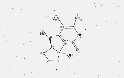 Nc1[nH]c(=O)c([C@@]2(O)CCO[C@H]2CO)cc1[N+](=O)[O-]